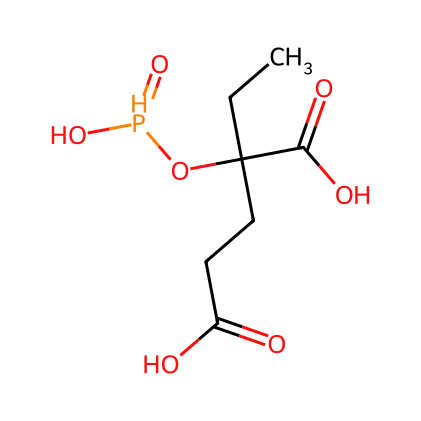 CCC(CCC(=O)O)(O[PH](=O)O)C(=O)O